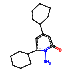 Nn1c(C2CCCCC2)cc(C2CCCCC2)cc1=O